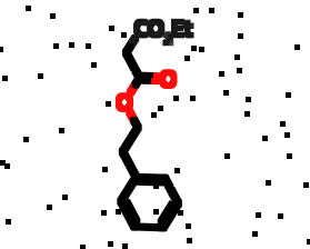 CCOC(=O)CC(=O)OCCc1ccccc1